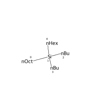 CCCCCCCC[Si](CCCC)(CCCC)CCCCCC